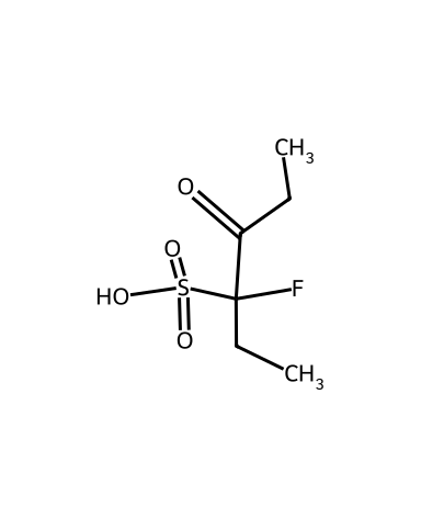 CCC(=O)C(F)(CC)S(=O)(=O)O